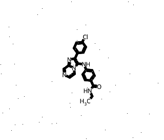 CCNC(=O)c1ccc(Nc2c(-c3ccc(Cl)cc3)nc3cnccn23)cc1